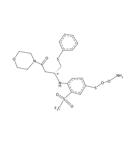 NOOSc1ccc(N[C@@H](CSc2ccccc2)CC(=O)N2CCOCC2)c(S(=O)(=O)C(F)(F)F)c1